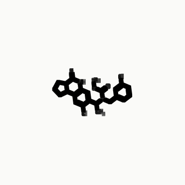 CC(c1cc2c(cc1Cl)C1CCCC1C(=S)N2)N(Cc1cccc(Cl)c1)C(=O)OC(C)(C)C